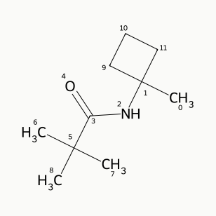 CC1(NC(=O)C(C)(C)C)CCC1